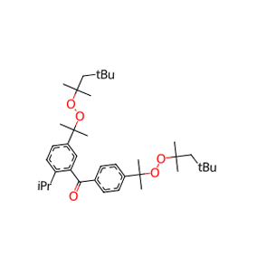 CC(C)c1ccc(C(C)(C)OOC(C)(C)CC(C)(C)C)cc1C(=O)c1ccc(C(C)(C)OOC(C)(C)CC(C)(C)C)cc1